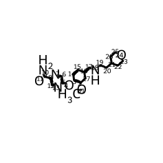 COC1=C(Oc2cnc(C(N)=O)cn2)C=CC(=CNCCC2CCOCC2)C1